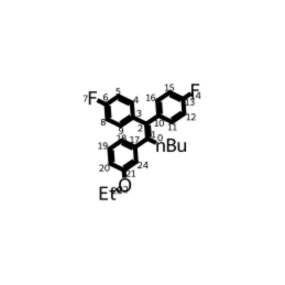 CCCCC(=C(c1ccc(F)cc1)c1ccc(F)cc1)c1cccc(OCC)c1